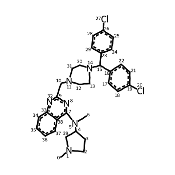 CN1CCC(N(C)c2nc(CN3CCN(C(c4ccc(Cl)cc4)c4ccc(Cl)cc4)CC3)nc3ccccc23)C1